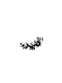 C=C(/C=N\C=S)c1nnc(-c2cccc(S)n2)s1